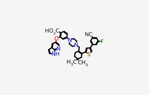 CC1(C)CCC(CN2CCN(c3ccc(C(=O)O)c(Oc4cnc5[nH]ccc5c4)c3)CC2)=C(c2cc(-c3cc(F)cc(C#N)c3)cs2)C1